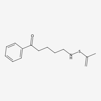 C=C(C)SNCCCCC(=O)c1ccccc1